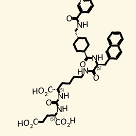 Cc1ccc(C(=O)NC[C@H]2CC[C@H](C(=O)N[C@@H](Cc3ccc4ccccc4c3)C(=O)NCCCC[C@H](NC(=O)N[C@@H](CCC(=O)O)C(=O)O)C(=O)O)CC2)cn1